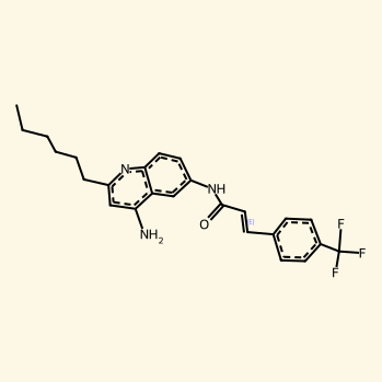 CCCCCCc1cc(N)c2cc(NC(=O)/C=C/c3ccc(C(F)(F)F)cc3)ccc2n1